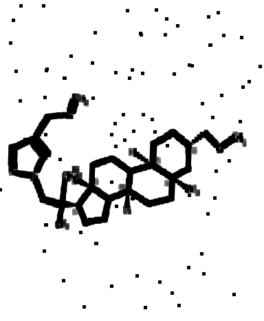 C=NCc1cnn(CC(C)(C)[C@H]2CCC3[C@@H]4CC[C@]5(C)C[C@@H](COC)CC[C@@H]5C4CC[C@@]32C)c1